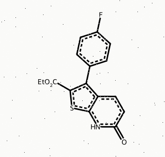 CCOC(=O)c1sc2[nH]c(=O)ccc2c1-c1ccc(F)cc1